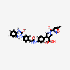 Cc1cc(C(=O)N2CC(C(=O)O)C(c3ccc(NC(=O)Cc4ccc(NC(=O)N(C)c5ccccc5C)cc4)cc3)C2)no1